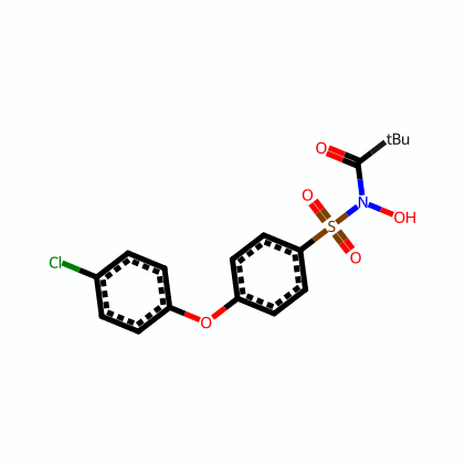 CC(C)(C)C(=O)N(O)S(=O)(=O)c1ccc(Oc2ccc(Cl)cc2)cc1